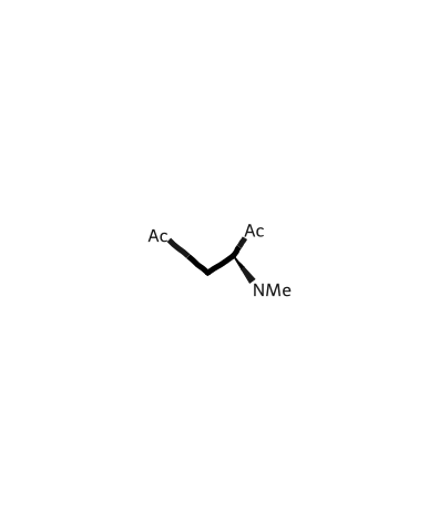 CN[C@@H](CC(C)=O)C(C)=O